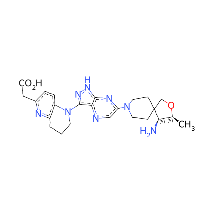 C[C@@H]1OCC2(CCN(c3cnc4c(N5CCCc6nc(CC(=O)O)ccc65)n[nH]c4n3)CC2)[C@@H]1N